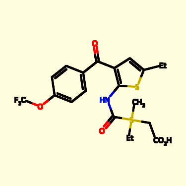 CCc1cc(C(=O)c2ccc(OC(F)(F)F)cc2)c(NC(=O)S(C)(CC)CC(=O)O)s1